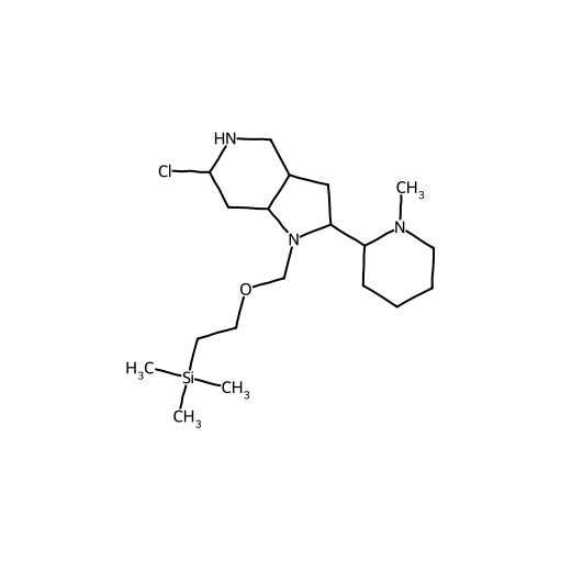 CN1CCCCC1C1CC2CNC(Cl)CC2N1COCC[Si](C)(C)C